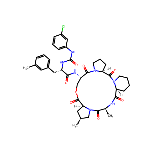 Cc1cccc(C[C@H](NC(=O)Nc2cccc(Cl)c2)C(=O)N[C@H]2COC(=O)[C@@H]3C[C@H](C)CN3C(=O)[C@H](C)NC(=O)[C@@H]3CCCCN3C(=O)[C@@H]3CCCN3C2=O)c1